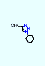 O=Cc1cn(C2CCCCC2)nn1